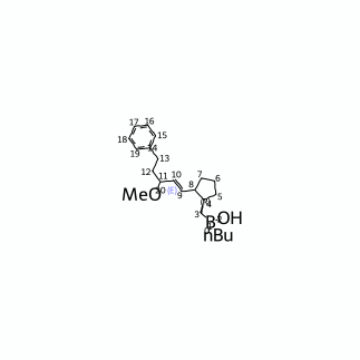 CCCCB(O)C[C@@H]1CCCC1/C=C/C(CCc1ccccc1)OC